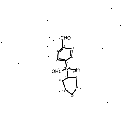 CC(C)[N+](C=O)(c1ccc(C=O)cc1)C1CCCCC1